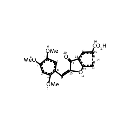 COc1cc(OC)c(OC)cc1C=C1Oc2ccc(C(=O)O)cc2C1=O